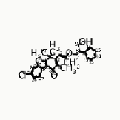 CC1=C(/C=C(\C)OC[C@@H](CO)c2ccccc2)C(C)(C)c2oc3cc(Cl)ccc3c2C1=O